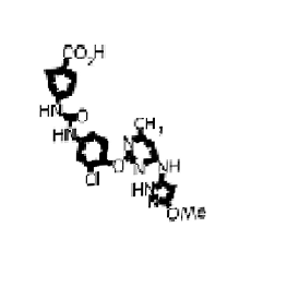 COc1cc(Nc2cc(C)nc(Oc3ccc(NC(=O)Nc4ccc(C(=O)O)cc4)cc3Cl)n2)[nH]n1